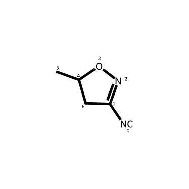 [C-]#[N+]C1=NOC(C)C1